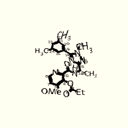 CCC(=O)Oc1c(OC)ccnc1C(=O)N[C@@H](C)c1nc(-c2cc(C)cc(C)c2)n(C)n1